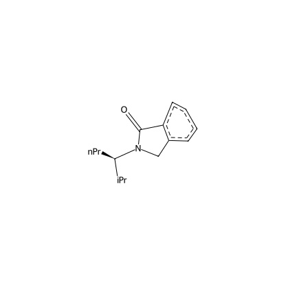 CCC[C@H](C(C)C)N1Cc2ccccc2C1=O